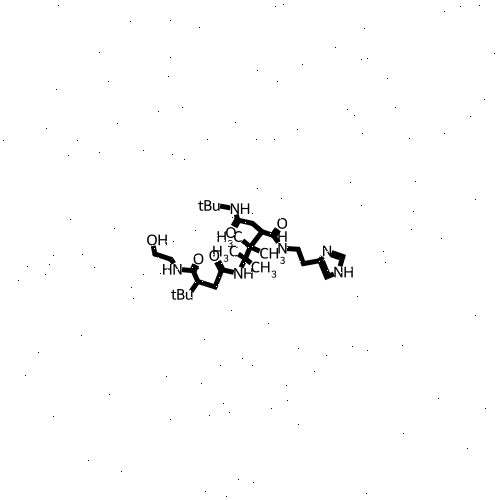 CC(C)(C)NC(=O)CC(C(=O)NCCc1c[nH]cn1)C(C)(C)C(C)(C)NC(=O)CC(C(=O)NCCO)C(C)(C)C